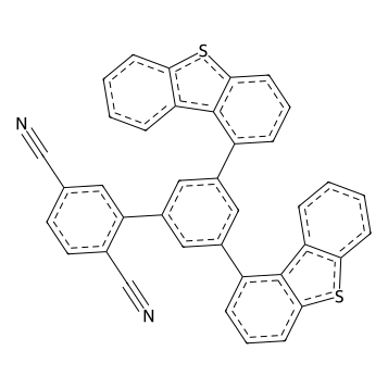 N#Cc1ccc(C#N)c(-c2cc(-c3cccc4sc5ccccc5c34)cc(-c3cccc4sc5ccccc5c34)c2)c1